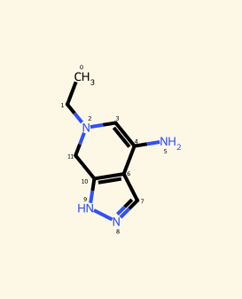 CCN1C=C(N)c2cn[nH]c2C1